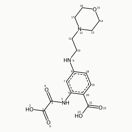 O=C(O)C(=O)Nc1cc(NCCN2CCOCC2)ccc1C(=O)O